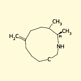 C=C1CCCCCN[C@H](C)C(C)CC1